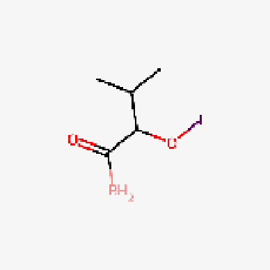 BC(=O)C(OI)C(C)C